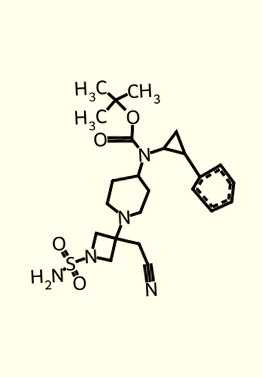 CC(C)(C)OC(=O)N(C1CCN(C2(CC#N)CN(S(N)(=O)=O)C2)CC1)C1CC1c1ccccc1